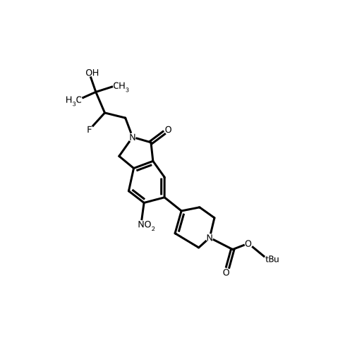 CC(C)(C)OC(=O)N1CC=C(c2cc3c(cc2[N+](=O)[O-])CN(CC(F)C(C)(C)O)C3=O)CC1